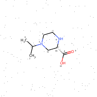 CC(C)N1CCN[C@H](C(=O)O)C1